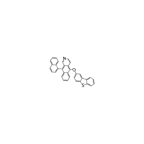 c1ccc2c(-c3c4ccccc4c(Oc4ccc5sc6ccccc6c5c4)c4ccncc34)cccc2c1